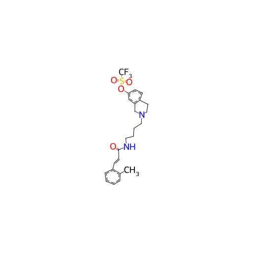 Cc1ccccc1/C=C/C(=O)NCCCCN1CCc2ccc(OS(=O)(=O)C(F)(F)F)cc2C1